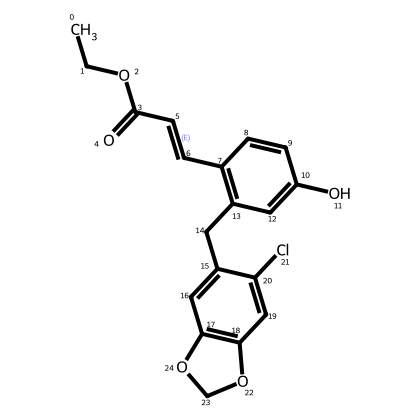 CCOC(=O)/C=C/c1ccc(O)cc1Cc1cc2c(cc1Cl)OCO2